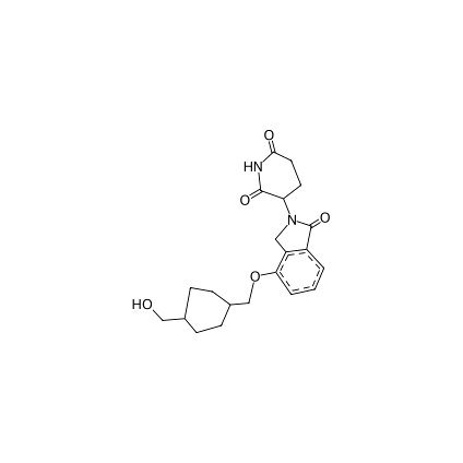 O=C1CCC(N2Cc3c(OCC4CCC(CO)CC4)cccc3C2=O)C(=O)N1